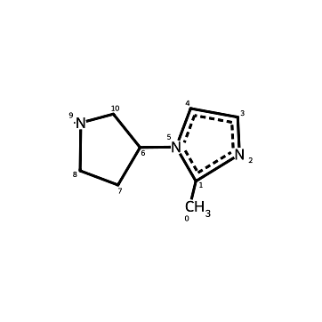 Cc1nccn1C1CC[N]C1